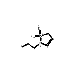 [CH2]CCN1C=CCS1(=O)=O